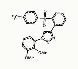 COc1cccc(-n2cc(-c3ccccc3S(=O)(=O)c3ccc(C(F)(F)F)cc3)nn2)c1OC